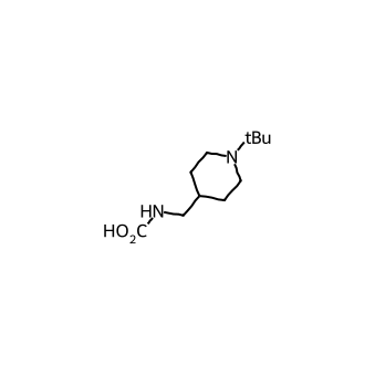 CC(C)(C)N1CCC(CNC(=O)O)CC1